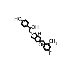 Cc1cc(F)ccc1CC1(O)CC2CN(CC(O)c3ccc(O)cc3)C[C@H]2C1